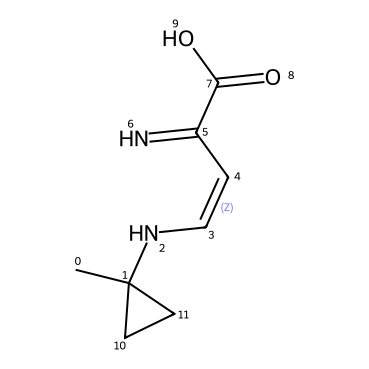 CC1(N/C=C\C(=N)C(=O)O)CC1